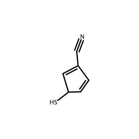 N#CC1=CC(S)C=C1